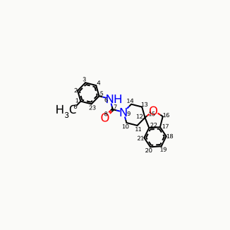 Cc1cccc(NC(=O)N2CCC3(CC2)OCc2ccccc23)c1